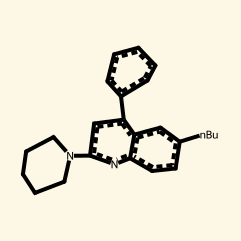 CCCCc1ccc2nc(N3CCCCC3)cc(-c3ccccc3)c2c1